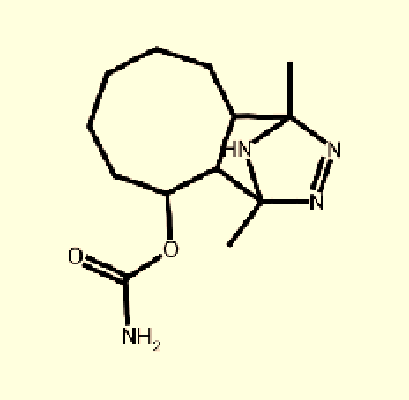 CC12N=NC(C)(N1)C1C(OC(N)=O)CCCCCC12